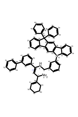 NC(/C=C(\NCc1cccc(-n2c3ccccc3c3cc4c(cc32)-c2ccccc2C4(c2ccccc2)c2ccccc2)c1)c1cccc(-c2ccccc2)c1)C1=CCCCC1